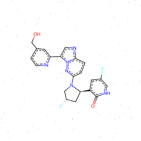 O=c1[nH]cc(F)cc1[C@H]1C[C@H](F)CN1c1ccc2ncc(-c3cc(CO)ccn3)n2n1